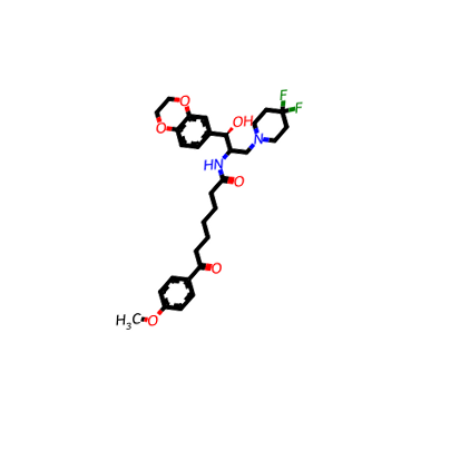 COc1ccc(C(=O)CCCCCC(=O)NC(CN2CCC(F)(F)CC2)[C@H](O)c2ccc3c(c2)OCCO3)cc1